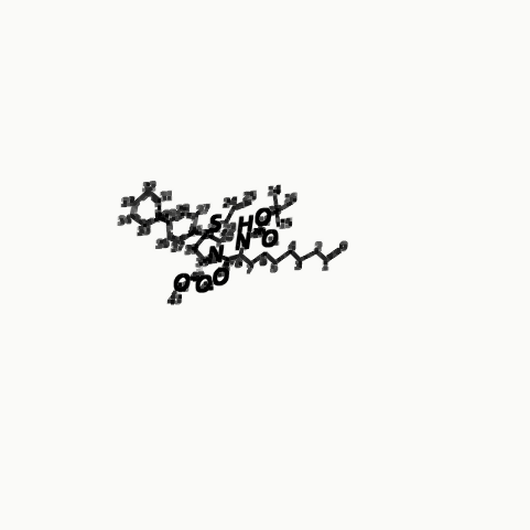 C=CCCCCCCC(NC(=O)OC(C)(C)C)C(=O)N1C[C@](SCC=C)(c2ccc(-c3ccccc3)cc2)C[C@H]1C(=O)OC